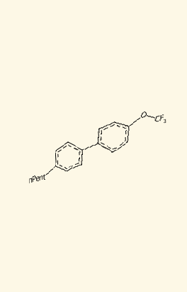 CCCCCc1ccc(-c2ccc(OC(F)(F)F)cc2)cc1